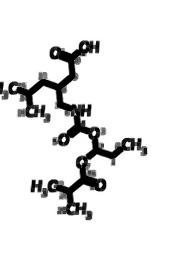 CCC(OC(=O)NCC(CC(=O)O)CC(C)C)OC(=O)C(C)C